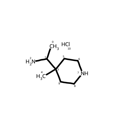 CC(N)C1(C)CCNCC1.Cl